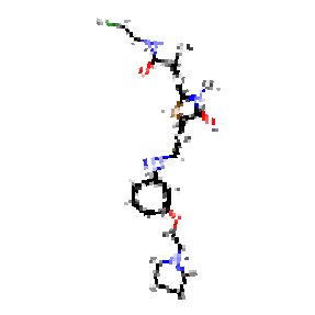 CCn1c(=C=C(C#N)C(=O)NCCF)sc(=C=CNc2cccc(OCCN3CCCC3)c2)c1=O